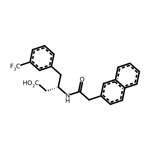 O=C(O)C[C@H](Cc1cccc(C(F)(F)F)c1)NC(=O)Cc1ccc2ccccc2c1